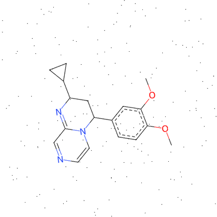 COc1ccc(C2CC(C3CC3)N=C3C=NC=CN32)cc1OC